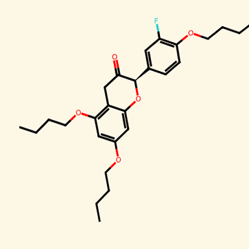 CCCCOc1cc(OCCCC)c2c(c1)O[C@H](c1ccc(OCCCC)c(F)c1)C(=O)C2